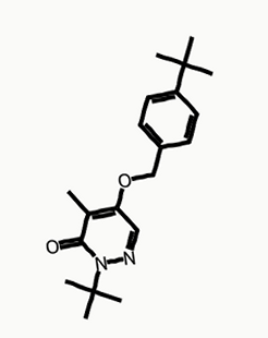 Cc1c(OCc2ccc(C(C)(C)C)cc2)cnn(C(C)(C)C)c1=O